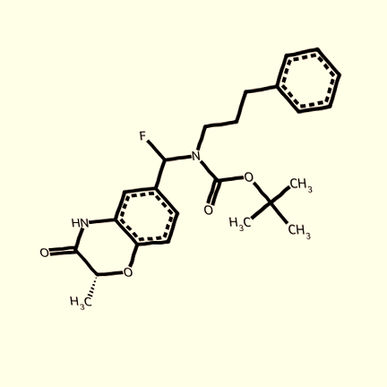 C[C@H]1Oc2ccc(C(F)N(CCCc3ccccc3)C(=O)OC(C)(C)C)cc2NC1=O